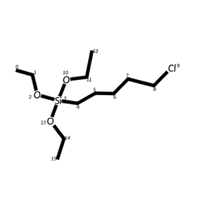 CCO[Si](CCCCCCl)(OCC)OCC